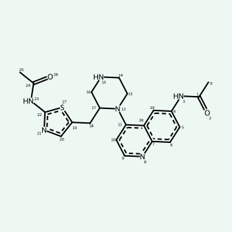 CC(=O)Nc1ccc2nccc(N3CCNCC3Cc3cnc(NC(C)=O)s3)c2c1